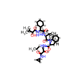 CCC[C@H](NC(=O)[C@@H]1C[C@@H]2CCCC[C@@H]2N1C(=O)[C@@H](NC(=O)C(NC(=O)[C@@H](O)C(C)C)C1CCCCC1)C(C)(C)C)C(=O)C(=O)NC1CC1